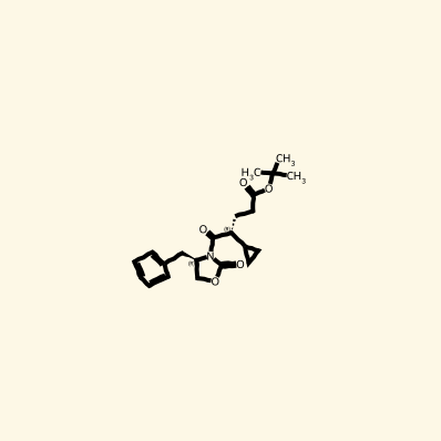 CC(C)(C)OC(=O)CC[C@@H](C(=O)N1C(=O)OC[C@H]1Cc1ccccc1)C1CC1